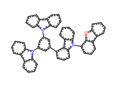 c1ccc2c(c1)oc1c(-n3c4ccccc4c4c(-c5cc(-n6c7ccccc7c7ccccc76)cc(-n6c7ccccc7c7ccccc76)c5)cccc43)cccc12